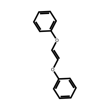 C(=C\Oc1ccccc1)/Oc1ccccc1